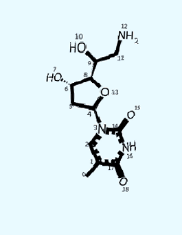 Cc1cn([C@H]2C[C@H](O)[C@@H](C(O)CN)O2)c(=O)[nH]c1=O